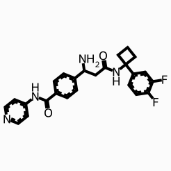 NC(CC(=O)NC1(c2ccc(F)c(F)c2)CCC1)c1ccc(C(=O)Nc2ccncc2)cc1